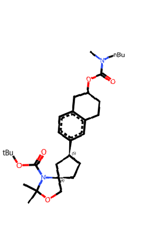 CCCCN(C)C(=O)OC1CCc2cc([C@H]3CC[C@]4(COC(C)(C)N4C(=O)OC(C)(C)C)C3)ccc2C1